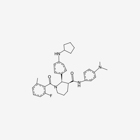 Cc1cccc(F)c1C(=O)N1CCC[C@H](C(=O)Nc2ccc(N(C)C)cc2)[C@@H]1c1ccc(NC2CCCC2)cc1